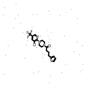 O=C(CCCc1cccs1)N1CCN(c2ncc(C(F)(F)F)cc2Cl)CC1